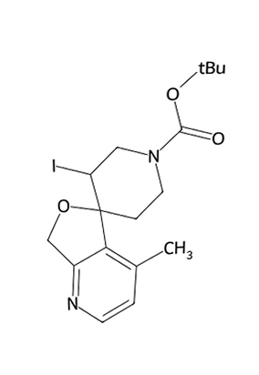 Cc1ccnc2c1C1(CCN(C(=O)OC(C)(C)C)CC1I)OC2